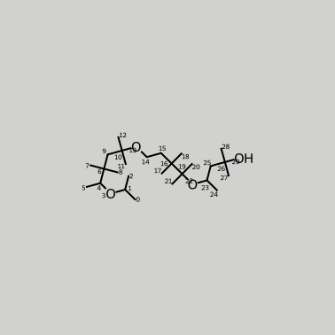 CC(C)OC(C)C(C)(C)CC(C)(C)OCCC(C)(C)C(C)(C)OC(C)CC(C)(C)O